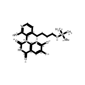 CCCc1nccc(CCCCO[Si](C)(C)C(C)(C)C)c1-n1c(=O)[nH]c(=O)c2cc(F)c(Cl)nc21